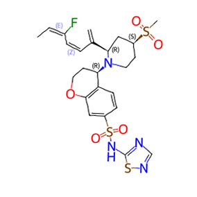 C=C(/C=C\C(F)=C/C)[C@H]1C[C@@H](S(C)(=O)=O)CCN1[C@@H]1CCOc2cc(S(=O)(=O)Nc3ncns3)ccc21